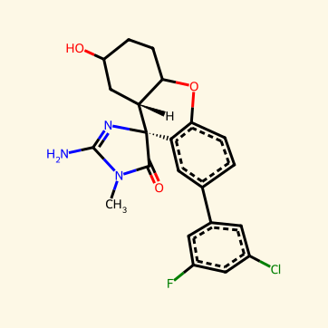 CN1C(=O)[C@]2(N=C1N)c1cc(-c3cc(F)cc(Cl)c3)ccc1OC1CCC(O)C[C@H]12